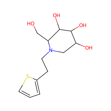 OCC1C(O)C(O)C(O)CN1CCc1cccs1